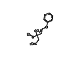 CCCCCCCCCCCC(CCOc1ccccc1)(OCC)C(=O)O